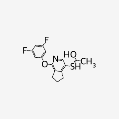 CC(O)=[SH]c1cnc(Oc2cc(F)cc(F)c2)c2c1CCC2